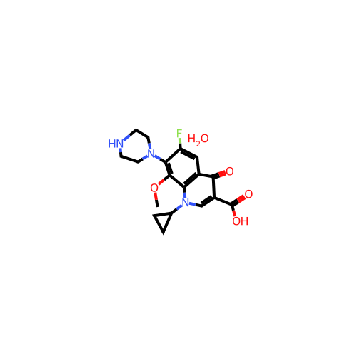 COc1c(N2CCNCC2)c(F)cc2c(=O)c(C(=O)O)cn(C3CC3)c12.O